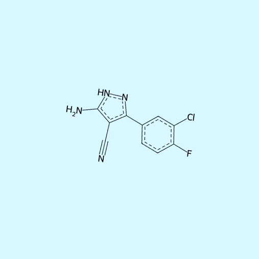 N#Cc1c(-c2ccc(F)c(Cl)c2)n[nH]c1N